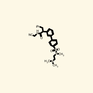 CC(C)CC(C(=O)NCC#N)c1cccc(-c2ccc(S(=O)(=O)N(C)CCN(C)C)cc2)c1